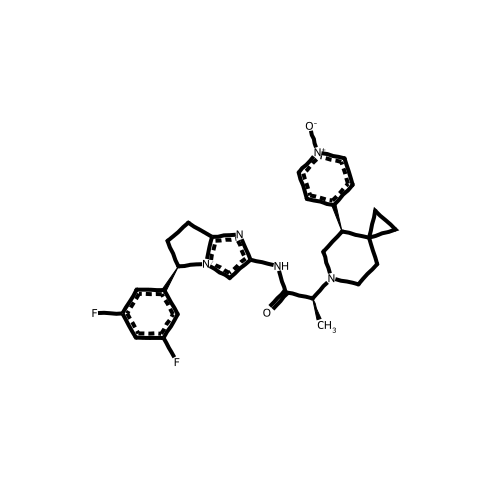 C[C@@H](C(=O)Nc1cn2c(n1)CC[C@@H]2c1cc(F)cc(F)c1)N1CCC2(CC2)[C@H](c2cc[n+]([O-])cc2)C1